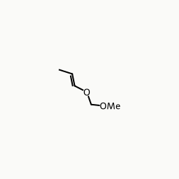 CC=COCOC